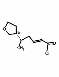 CN(CC=CC(=O)Cl)[C@H]1CCOC1